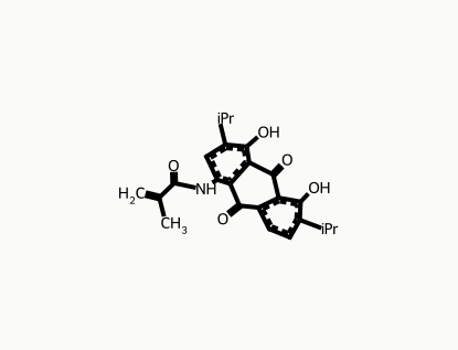 C=C(C)C(=O)Nc1cc(C(C)C)c(O)c2c1C(=O)c1ccc(C(C)C)c(O)c1C2=O